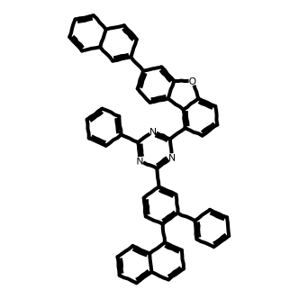 C1=CC2C=CC(c3ccc4c(c3)oc3cccc(-c5nc(-c6ccccc6)nc(-c6ccc(-c7cccc8ccccc78)c(-c7ccccc7)c6)n5)c34)=CC2C=C1